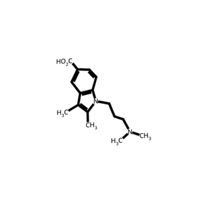 Cc1c(C)n(CCCN(C)C)c2ccc(C(=O)O)cc12